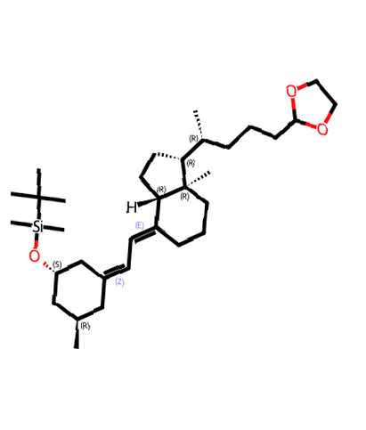 C[C@@H]1C/C(=C/C=C2\CCC[C@]3(C)[C@@H]([C@H](C)CCCC4OCCO4)CC[C@@H]23)C[C@@H](O[Si](C)(C)C(C)(C)C)C1